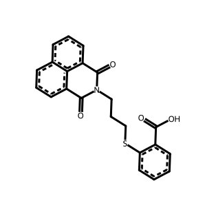 O=C(O)c1ccccc1SCCCN1C(=O)c2cccc3cccc(c23)C1=O